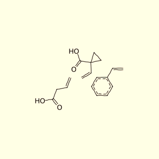 C=CC1(C(=O)O)CC1.C=CCC(=O)O.C=Cc1ccccc1